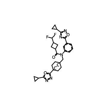 O=C(C1CC(C(F)F)C1)N(CC12CCC(c3nnc(C4CC4)o3)(CC1)CC2)c1cccc(-c2nc(C3CC3)no2)c1